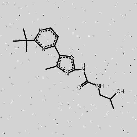 Cc1nc(NC(=O)NCC(C)O)sc1-c1ccnc(C(C)(C)C)n1